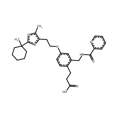 Cc1oc(C2(C)CCCCC2)nc1CCOc1ccc(CCC(=O)O)c(CNC(=O)c2ccccn2)c1